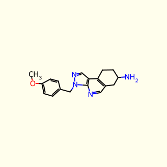 COc1ccc(Cn2ncc3c4c(cnc32)CC(N)CC4)cc1